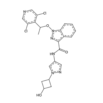 CC(On1nc(C(=O)Nc2cnn(C3CC(O)C3)c2)c2ccccc21)c1c(Cl)cncc1Cl